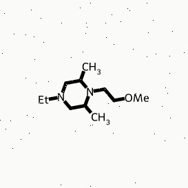 CCN1CC(C)N(CCOC)C(C)C1